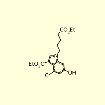 CCOC(=O)CCCCn1cc(C(=O)OCC)c2c(Cl)cc(O)cc21